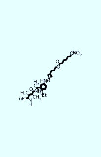 C=C(NC(=O)/C(C)=C(\C)C(=N)CCC)c1cc(NON2CC(CCCOC(=O)CCCCCO[N+](=O)[O-])C2)ccc1OCC